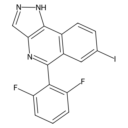 Fc1cccc(F)c1-c1nc2cn[nH]c2c2ccc(I)cc12